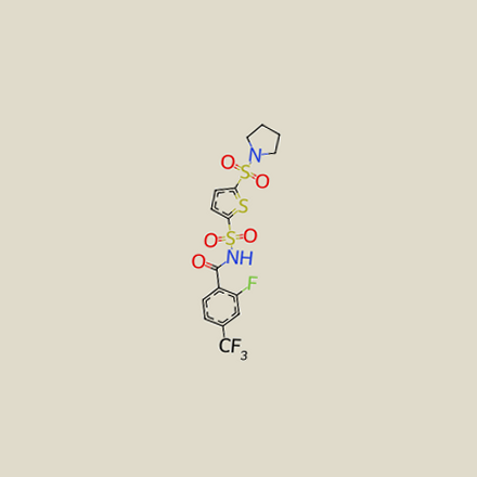 O=C(NS(=O)(=O)c1ccc(S(=O)(=O)N2CCCC2)s1)c1ccc(C(F)(F)F)cc1F